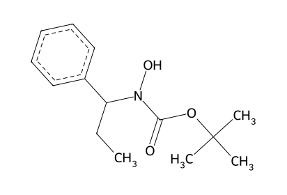 CCC(c1ccccc1)N(O)C(=O)OC(C)(C)C